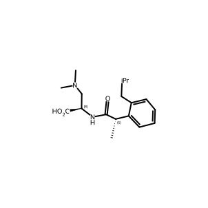 CC(C)Cc1ccccc1[C@H](C)C(=O)N[C@H](CN(C)C)C(=O)O